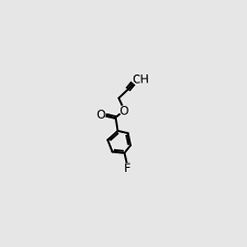 C#CCOC(=O)c1ccc(F)cc1